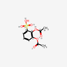 CC(=O)Oc1cccc(S(=O)(=O)O)c1OC(C)=O